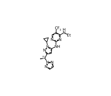 CCNc1nc(Nc2cc([C@H](C)n3nccn3)nn2C2CC2)ncc1C(F)(F)F